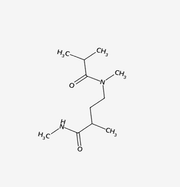 CNC(=O)C(C)CCN(C)C(=O)C(C)C